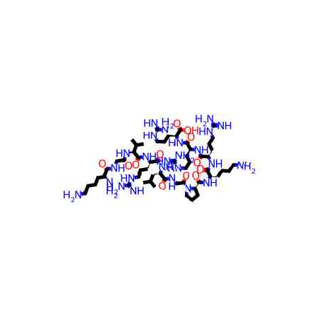 CC(C)C[C@H](NC(=O)[C@H](CCCNC(=N)N)NC(=O)[C@@H](NC(=O)CNC(=O)[C@@H](N)CCCCN)C(C)C)C(=O)NCC(=O)N1CCC[C@H]1C(=O)N[C@@H](CCCCN)C(=O)N[C@@H](CCCNC(=N)N)C(=O)N[C@@H](CCCNC(=N)N)C(=O)N[C@@H](CCCNC(=N)N)C(=O)O